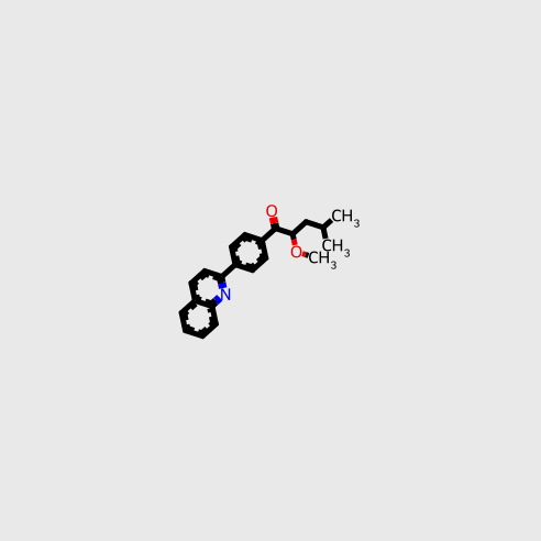 COC(CC(C)C)C(=O)c1ccc(-c2ccc3ccccc3n2)cc1